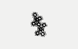 C1=CC(c2nc(-c3ccccc3)c(-c3cccc(-c4ccccc4-c4nc(C5=CCCC=C5)c5ccccc5n4)c3)nc2-c2ccccc2)=CCC1